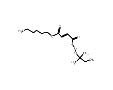 CCCCCCOC(=O)C=CC(=O)OOOC(C)(C)CC